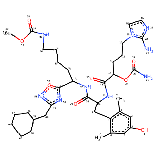 Cc1cc(O)cc(C)c1CC(NC(=O)C(CCCn1ccnc1N)OC(N)=O)C(=O)NC(CCCCNC(=O)OC(C)(C)C)c1nc(CC2CCCCC2)no1